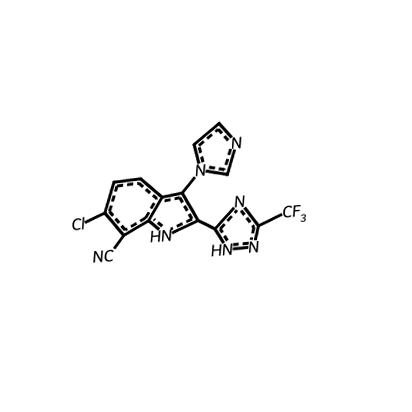 N#Cc1c(Cl)ccc2c(-n3ccnc3)c(-c3nc(C(F)(F)F)n[nH]3)[nH]c12